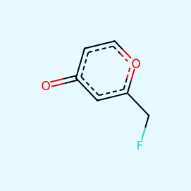 O=c1ccoc(CF)c1